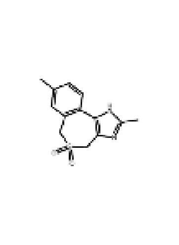 Cc1ccc2c(c1)CS(=O)(=O)Cc1nc(C)[nH]c1-2